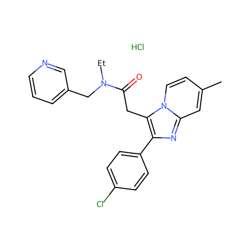 CCN(Cc1cccnc1)C(=O)Cc1c(-c2ccc(Cl)cc2)nc2cc(C)ccn12.Cl